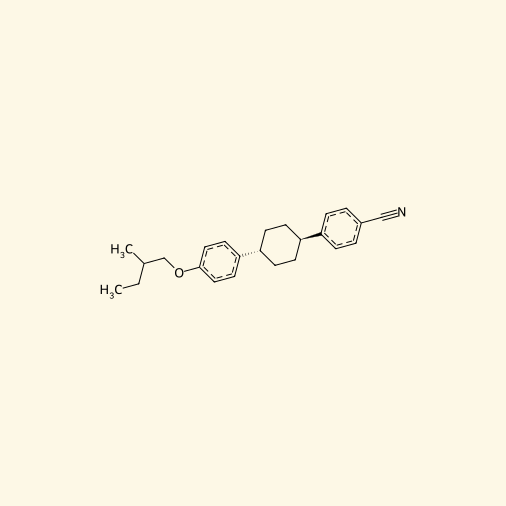 CCC(C)COc1ccc([C@H]2CC[C@H](c3ccc(C#N)cc3)CC2)cc1